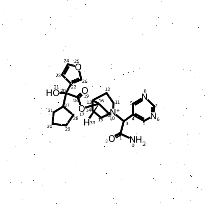 NC(=O)C(c1cncnc1)[N+]12CCC(CC1)[C@@H](OC(=O)C(O)(c1ccoc1)C1CCCC1)C2